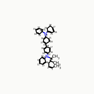 C/C=C\CC(C)C(C)N(c1ccccc1)c1ccc(-c2ccc(N(C3=CC=CCC3)c3ccccc3)cc2)cc1